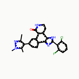 Cc1nn(C)c(C)c1-c1ccc2c(c1)c1c(=O)[nH]ccc1c1[nH]c(-c3c(F)cccc3Cl)nc21